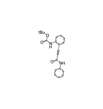 CC(C)(C)OC(=O)Nc1ccccc1C#CC(=O)Nc1ccccc1